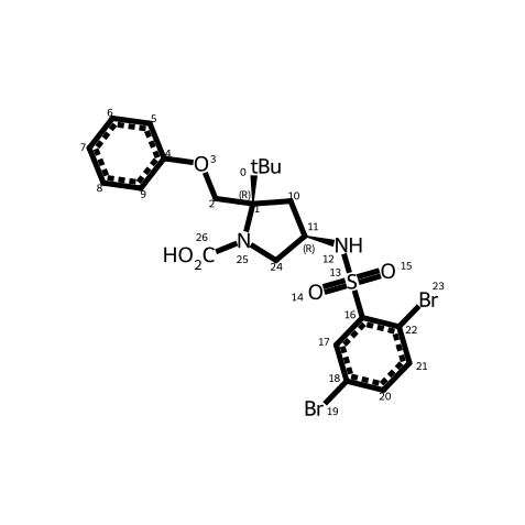 CC(C)(C)[C@@]1(COc2ccccc2)C[C@@H](NS(=O)(=O)c2cc(Br)ccc2Br)CN1C(=O)O